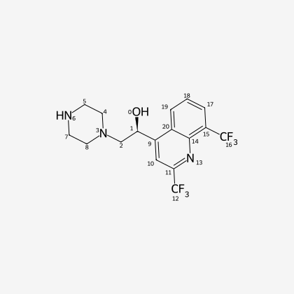 O[C@H](CN1CCNCC1)c1cc(C(F)(F)F)nc2c(C(F)(F)F)cccc12